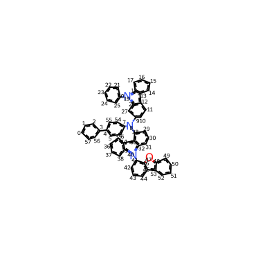 c1ccc(-c2ccc(N(c3ccc4c5ccccc5n(-c5ccccc5)c4c3)c3cccc4c3c3ccccc3n4-c3cccc4c3oc3ccccc34)cc2)cc1